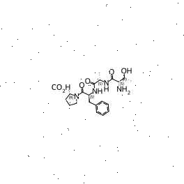 C[C@H](NC(=O)[C@@H](N)[C@@H](C)O)C(=O)N[C@@H](Cc1ccccc1)C(=O)N1CCC[C@@H]1C(=O)O